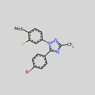 CSc1ccc(-n2nc(C(F)(F)F)nc2-c2ccc(Br)cc2)cc1F